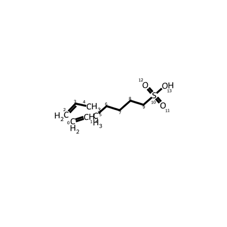 C=C.C=CC.CCCCCS(=O)(=O)O